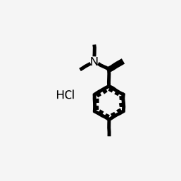 C=C(c1ccc(C)cc1)N(C)C.Cl